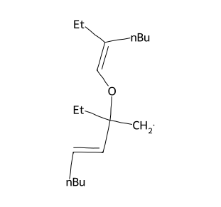 [CH2]C(C=CCCCC)(CC)OC=C(CC)CCCC